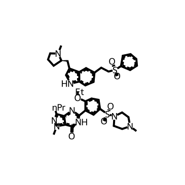 CCCc1nn(C)c2c(=O)[nH]c(-c3cc(S(=O)(=O)N4CCN(C)CC4)ccc3OCC)nc12.CN1CCC[C@@H]1Cc1c[nH]c2ccc(CCS(=O)(=O)c3ccccc3)cc12